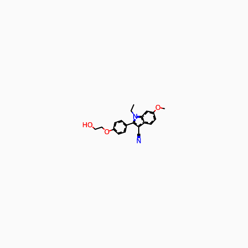 CCn1c(-c2ccc(OCCO)cc2)c(C#N)c2ccc(OC)cc21